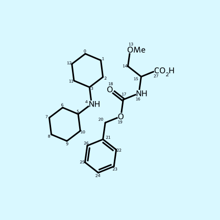 C1CCC(NC2CCCCC2)CC1.COCC(NC(=O)OCc1ccccc1)C(=O)O